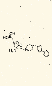 NC(CCCCB(O)O)(CCCN1CCN(Cc2ccc(-c3ccccc3)cc2)CC1)C(=O)O